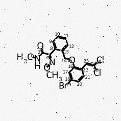 CNC(=O)C(=NOC)c1ccccc1COc1cc(Br)ccc1C=C(Cl)Cl